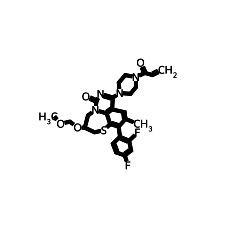 C=CC(=O)N1CCN(c2nc(=O)n3c4c(c(-c5ccc(F)cc5F)c(C)cc24)SCC(OCOC)C3)CC1